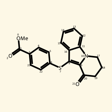 COC(=O)c1ccc(Sc2c3n(c4ccccc24)CCCC3=O)cc1